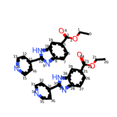 CCOC(=O)c1ccc2nc(-c3ccncc3)[nH]c2c1.CCOC(=O)c1ccc2nc(-c3ccncc3)[nH]c2c1